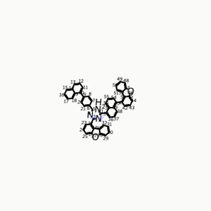 N/C(=N\C(=N/Cc1ccc(-c2cccc3ccccc23)cc1)c1cccc2oc3ccccc3c12)c1cccc2c(-c3cccc4oc5ccccc5c34)cccc12